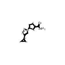 NC(=O)C1CCC(n2cc(C3CC3)nn2)C1